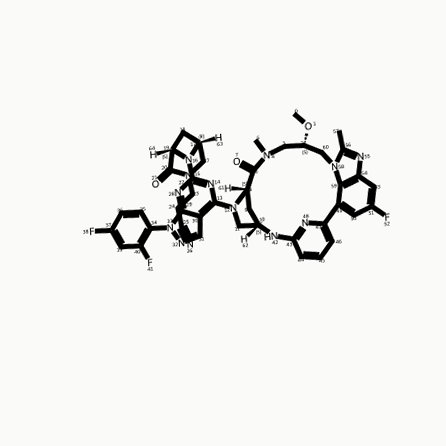 CO[C@H]1CN(C)C(=O)[C@@H]2C[C@@H](CN2c2nc(N3[C@@H]4C[C@H]3C(=O)N(CCC#N)C4)nc3c2cnn3-c2ccc(F)cc2F)Nc2cccc(n2)-c2cc(F)cc3nc(C)n(c23)C1